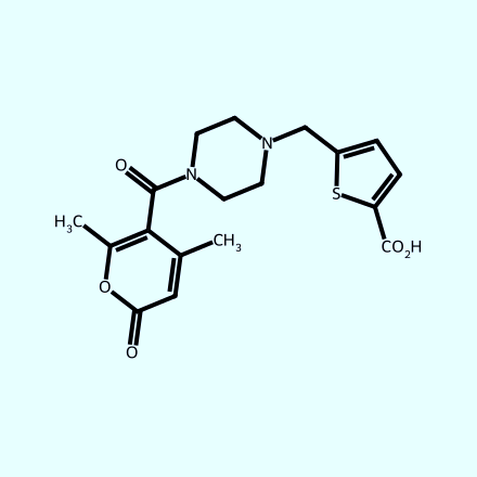 Cc1cc(=O)oc(C)c1C(=O)N1CCN(Cc2ccc(C(=O)O)s2)CC1